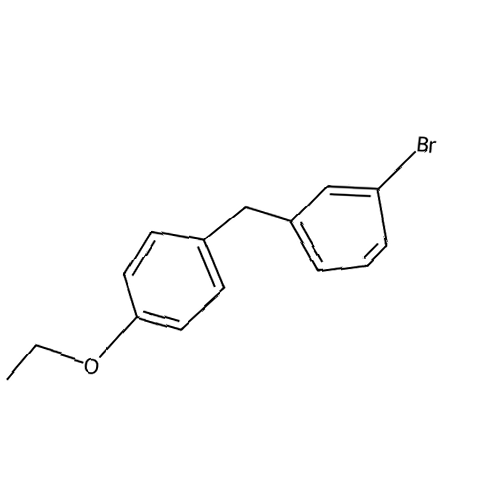 CCOc1ccc(Cc2cccc(Br)c2)cc1